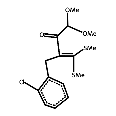 COC(OC)C(=O)C(Cc1ccccc1Cl)=C(SC)SC